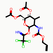 C=CCOC(=O)NC1C(OC(=N)C(Cl)(Cl)Cl)O[C@@H](COC(C)=O)[C@H](OC(C)=O)C1C